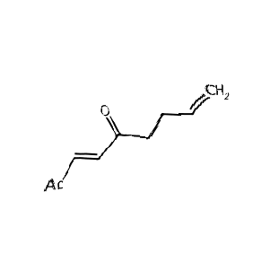 C=CCCC(=O)C=CC(C)=O